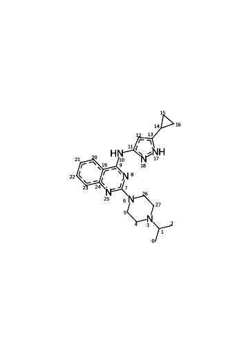 CC(C)N1CCN(c2nc(Nc3cc(C4CC4)[nH]n3)c3ccccc3n2)CC1